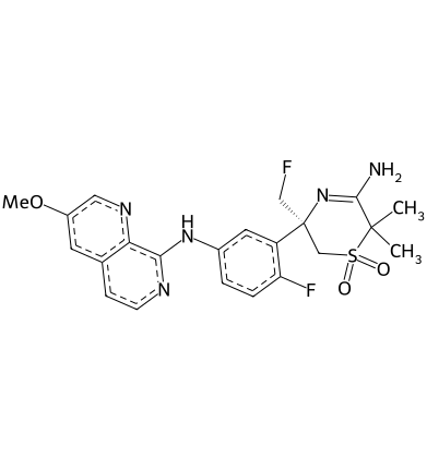 COc1cnc2c(Nc3ccc(F)c([C@]4(CF)CS(=O)(=O)C(C)(C)C(N)=N4)c3)nccc2c1